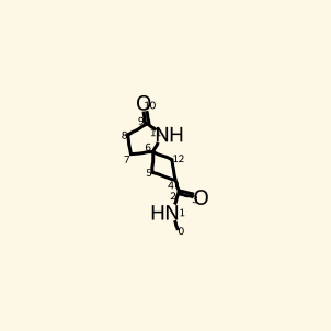 CNC(=O)C1CC2(CCC(=O)N2)C1